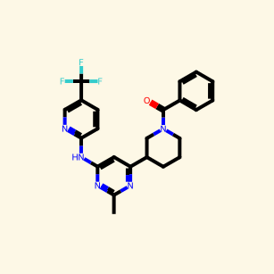 Cc1nc(Nc2ccc(C(F)(F)F)cn2)cc(C2CCCN(C(=O)c3ccccc3)C2)n1